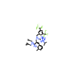 Cc1cccc2cc(CN(Cc3cc(C(F)(F)F)cc(C(F)(F)F)c3)c3nnn(C(C)C)n3)c(N(CC3CC3)CC3CC3)nc12